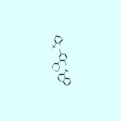 O=C(OCc1ccc(COc2ccccc2C(F)(F)F)cc1C1=CCNCC1)c1cccc2ccccc12